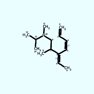 C=C/C=C\C(=C/C)C(C)CN(C)C(C)C